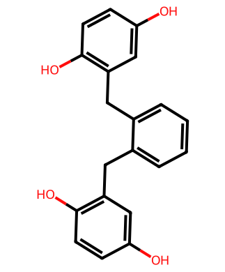 Oc1ccc(O)c(Cc2ccccc2Cc2cc(O)ccc2O)c1